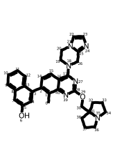 Cc1c(-c2cc(O)cc3ccccc23)ccc2c(N3CCn4ccnc4C3)nc(OCC34CCCN3CCC4)nc12